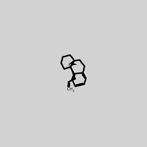 C=CCN1CCC23CCCCC12c1ccccc1CC3